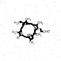 C=Cc1c(C)c2cc3nc(c(C)c4cc(C)c(cc5nc(cc1[nH]2)C(C)=C5CC)[nH]4)[C@@H](CCC=O)C3C